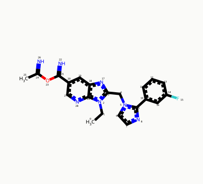 CCn1c(Cn2ccnc2-c2cccc(F)c2)nc2cc(C(=N)OC(C)=N)cnc21